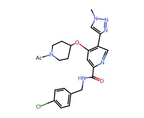 CC(=O)N1CCC(Oc2cc(C(=O)NCc3ccc(Cl)cc3)ncc2-c2cn(C)nn2)CC1